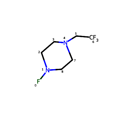 FN1CCN(CC(F)(F)F)CC1